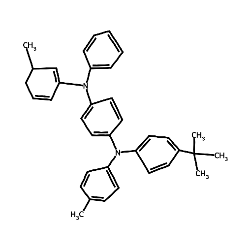 Cc1ccc(N(c2ccc(N(C3=CC(C)CC=C3)c3ccccc3)cc2)c2ccc(C(C)(C)C)cc2)cc1